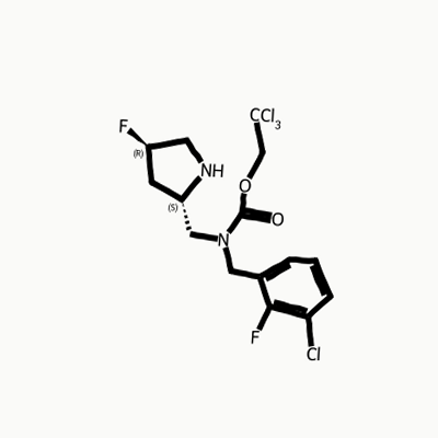 O=C(OCC(Cl)(Cl)Cl)N(Cc1cccc(Cl)c1F)C[C@@H]1C[C@@H](F)CN1